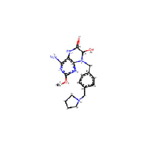 CCCCOc1nc(N)c2c(n1)N(Cc1ccc(CN3CCCC3)cc1)C(O)C(=O)N2